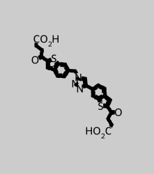 O=C(O)CCC(=O)c1cc2ccc(Cn3cc(-c4ccc5cc(C(=O)CCC(=O)O)sc5c4)nn3)cc2s1